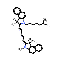 CC(C)CCCCC[N+]1=C(/C=C/C=C/C=C2/N(C)c3ccc4ccccc4c3C2(C)C)C(C)(C)c2c1ccc1ccccc21